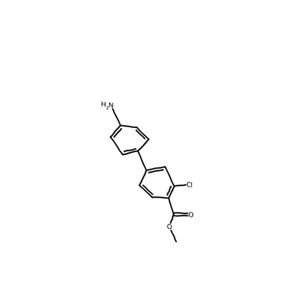 COC(=O)c1ccc(-c2ccc(N)cc2)cc1Cl